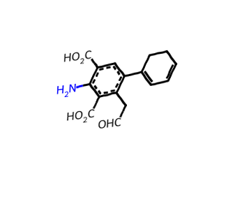 Nc1c(C(=O)O)cc(C2=CC=CCC2)c(CC=O)c1C(=O)O